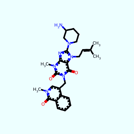 CC(C)=CCn1c(N2CCCC(N)C2)nc2c1c(=O)n(Cc1cn(C)c(=O)c3ccccc13)c(=O)n2C